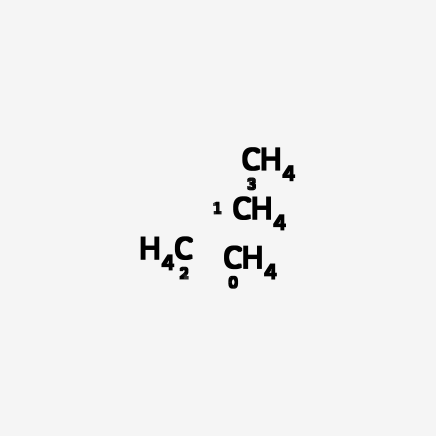 C.C.C.C